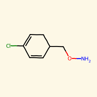 NOCC1C=CC(Cl)=CC1